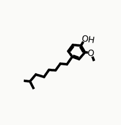 COc1cc(CCCCCCC(C)C)ccc1O